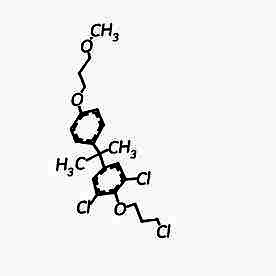 COCCCOc1ccc(C(C)(C)c2cc(Cl)c(OCCCCl)c(Cl)c2)cc1